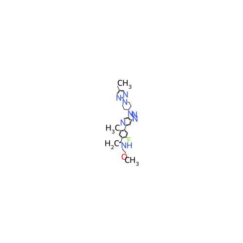 C=C(NCCOC)c1cc(C)c(-c2cc3nnn(C4CCN(c5ncc(CC)cn5)CC4)c3cn2)cc1F